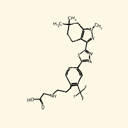 Cn1nc(-c2nnc(-c3ccc(CCNCC(=O)O)c(C(F)(F)F)c3)s2)c2c1CC(C)(C)CC2